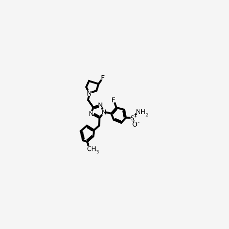 Cc1cccc(Cc2nc(CN3CCC(F)C3)nn2-c2ccc([S+](N)[O-])cc2F)c1